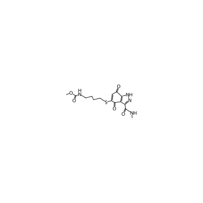 CNC(=O)c1n[nH]c2c1C(=O)C(SCCCCNC(=O)OC)=CC2=O